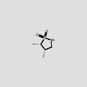 C[C@H]1CNS(=O)(=O)[C@H]1C